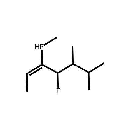 C/C=C(/PC)C(F)C(C)C(C)C